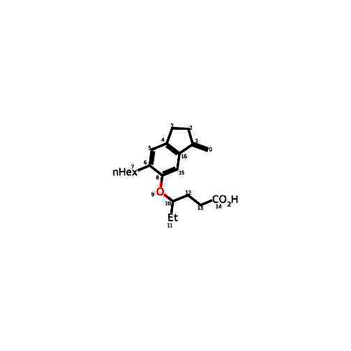 C=C1CCc2cc(CCCCCC)c(OC(CC)CCC(=O)O)cc21